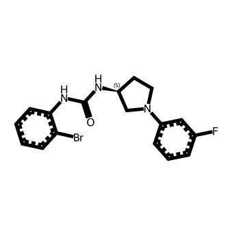 O=C(Nc1ccccc1Br)N[C@H]1CCN(c2cccc(F)c2)C1